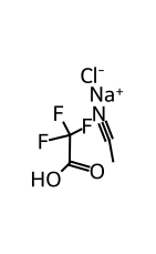 CC#N.O=C(O)C(F)(F)F.[Cl-].[Na+]